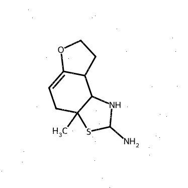 CC12CC=C3OCCC3C1NC(N)S2